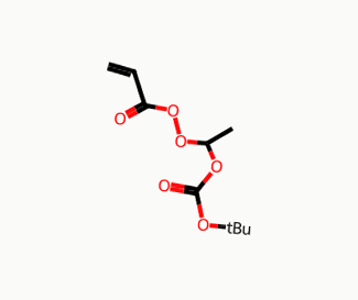 C=CC(=O)OOC(C)OC(=O)OC(C)(C)C